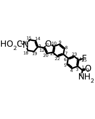 NC(=O)c1ccc(-c2ccc3oc(C4=CCN(C(=O)O)CC4)cc3c2)cc1F